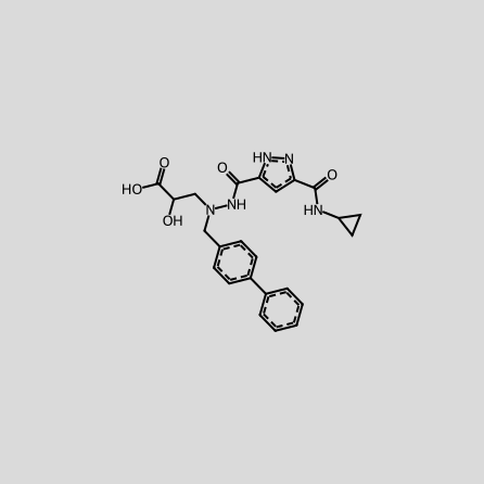 O=C(NC1CC1)c1cc(C(=O)NN(Cc2ccc(-c3ccccc3)cc2)CC(O)C(=O)O)[nH]n1